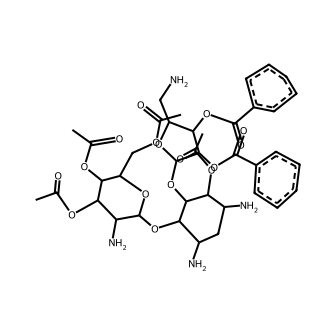 CC(=O)OCC1OC(OC2C(N)CC(N)C(OC(C)=O)C2OC2OC(CN)C(OC(=O)c3ccccc3)C2OC(=O)c2ccccc2)C(N)C(OC(C)=O)C1OC(C)=O